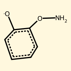 NOc1ccccc1[O]